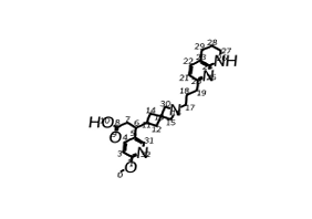 COc1ccc(C(CC(=O)O)C2CC3(C2)CN(CCCc2ccc4c(n2)NCCC4)C3)cn1